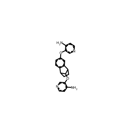 Nc1ccncc1Oc1ccc2c(c1)C1CCC2C1Oc1cnccc1N